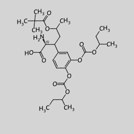 CCC(C)OC(=O)Oc1ccc(C(CC(C)OC(=O)C(C)(C)C)[C@H](N)C(=O)O)cc1OC(=O)OC(C)CC